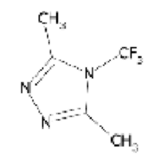 Cc1nnc(C)n1C(F)(F)F